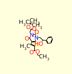 CCOC(=O)c1sc2c(c1C)c(=O)n(CC(=O)OC(C)(C)C)c(=O)n2CC(O)c1ccccc1